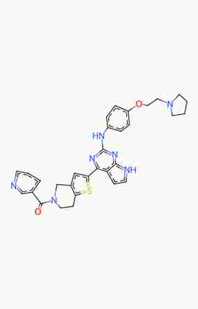 O=C(c1cccnc1)N1CCc2sc(-c3nc(Nc4ccc(OCCN5CCCC5)cc4)nc4[nH]ccc34)cc2C1